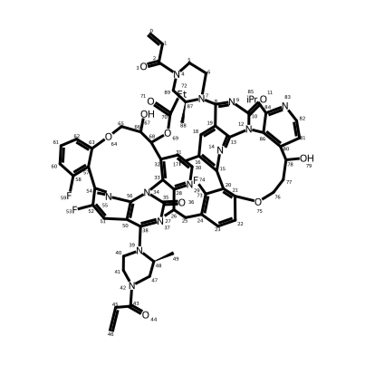 C=CC(=O)N1CCN(c2nc(=O)n3c4nc(c(F)cc24)-c2c(ccc(CC(C)c4nccc5c4-n4c(=O)nc(N6CCN(C(=O)C=C)C[C@@H]6C)c6cc(F)c(nc64)-c4c(F)cccc4OCC(O)C5OC(=O)CC)c2F)OCCC(O)c2ccnc(C(C)C)c2-3)[C@@H](C)C1